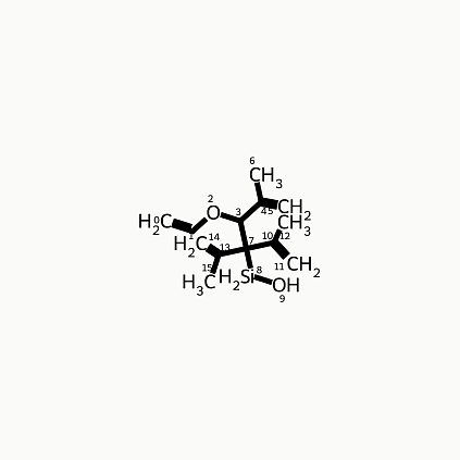 C=COC(C(=C)C)C([SiH2]O)(C(=C)C)C(=C)C